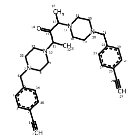 C#Cc1ccc(CN2CCN(C(C)C(=O)C(C)N3CCN(Cc4ccc(C#C)cc4)CC3)CC2)cc1